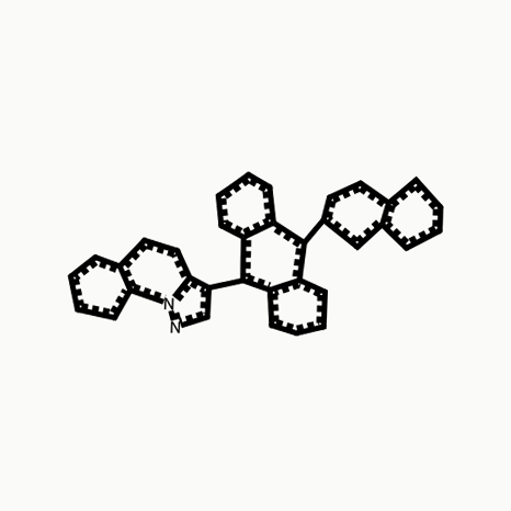 c1ccc2cc(-c3c4ccccc4c(-c4cnn5c4ccc4ccccc45)c4ccccc34)ccc2c1